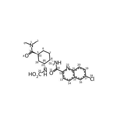 CN(C)C(=O)[C@H]1CC[C@H](NC(=O)c2ccc3cc(Cl)ccc3n2)[C@H](NC(=O)O)C1